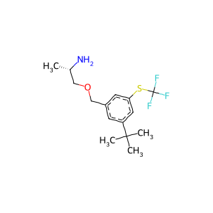 C[C@H](N)COCc1cc(SC(F)(F)F)cc(C(C)(C)C)c1